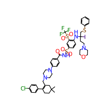 CC1(C)CCC(c2ccc(Cl)cc2)=C(CN2CCN(c3ccc(C(=O)NS(=O)(=O)c4ccc(NC(I)(CCN5CCOCC5)CSc5ccccc5)c(S(=O)(=O)C(F)(F)F)c4)cc3)CC2)C1